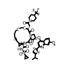 COc1ccc2c(O[C@@H]3C[C@H]4C(=O)N[C@]5(C(=O)NS(=O)(=O)C6CC6)CC5/C=C\CCCCC[C@H](CC(=O)N5CCC(C(F)(F)F)CC5)C(=O)N4C3)cc(-c3nc(C(C)C)cs3)nc2c1